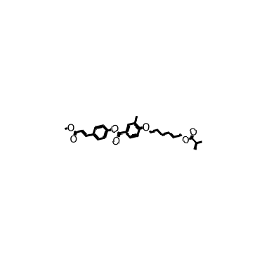 C=C(C)C(=O)OCCCCCCOc1ccc(C(=O)Oc2ccc(/C=C/C(=O)OC)cc2)cc1C